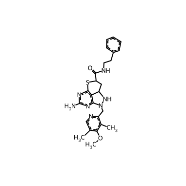 COc1c(C)cnc(CN2NC3CC(C(=O)NCCc4ccccc4)Sc4nc(N)nc2c43)c1C